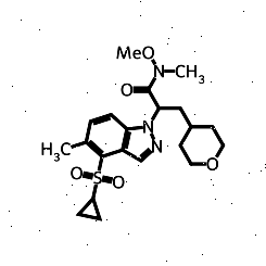 CON(C)C(=O)C(CC1CCOCC1)n1ncc2c(S(=O)(=O)C3CC3)c(C)ccc21